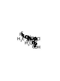 Cc1cc(-c2cc(Cl)ccc2OCCn2c(C)nc3c(c2=O)CC(N(C)C2CC(F)(F)C2)CC3)c2scc(C(=O)O)c2n1